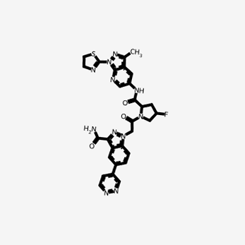 Cc1nn(C2=NCCS2)c2ncc(NC(=O)C3CC(F)CN3C(=O)Cn3nc(C(N)=O)c4cc(-c5ccnnc5)ccc43)cc12